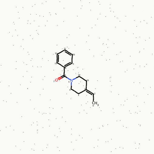 CC=C1CCN(C(=O)c2ccccc2)CC1